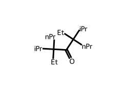 CCCC(CC)(C(=O)C(CC)(CCC)C(C)C)C(C)C